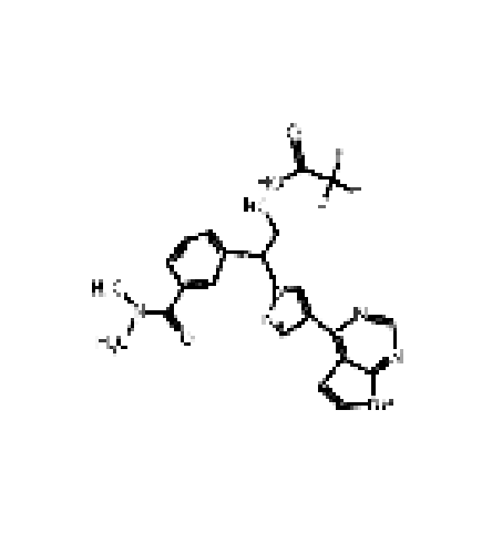 CN(C)C(=O)c1cccc(C(CC#N)n2cc(-c3ncnc4[nH]ccc34)cn2)c1.O=C(O)C(F)(F)F